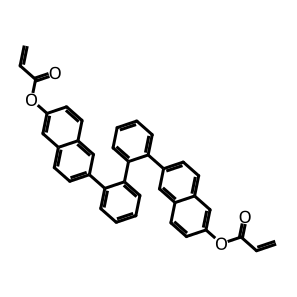 C=CC(=O)Oc1ccc2cc(-c3ccccc3-c3ccccc3-c3ccc4cc(OC(=O)C=C)ccc4c3)ccc2c1